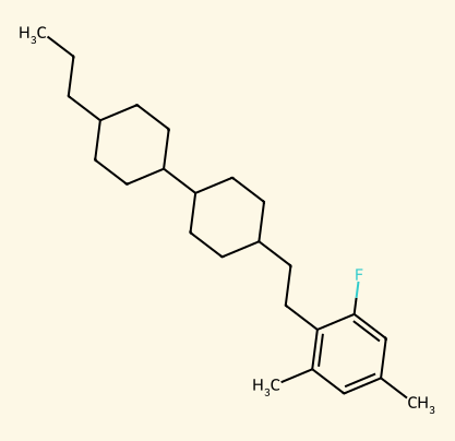 CCCC1CCC(C2CCC(CCc3c(C)cc(C)cc3F)CC2)CC1